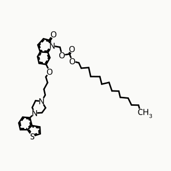 CCCCCCCCCCCCCCOC(=O)OCn1c(=O)ccc2ccc(OCCCCN3CCN(c4cccc5sccc45)CC3)cc21